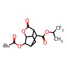 CCC(C)C(=O)OC1C2CC3C1OC(=O)C3C2C(=O)OC(C)C(F)(F)F